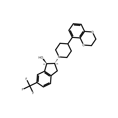 O[C@@H]1c2cc(C(F)(F)F)ccc2C[C@H]1N1CCC(c2cccc3c2OCCO3)CC1